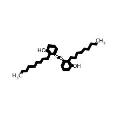 CCCCCCCCCc1c(O)cccc1SSc1cccc(O)c1CCCCCCCCC